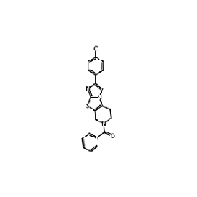 O=C(c1ccccc1)N1CCc2c(sc3nc(-c4ccc(Cl)cc4)cn23)C1